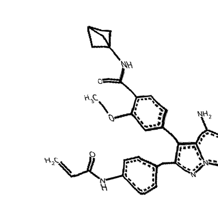 C=CC(=O)Nc1ccc(-c2nn3ncnc(N)c3c2-c2ccc(C(=O)NC34CC(C3)C4)c(OC)c2)cc1